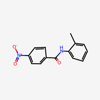 Cc1ccccc1NC(=O)c1ccc([N+](=O)[O-])cc1